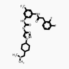 CN(C)CC1CCC([n+]2cc([N-]C(=O)Nc3cc(NC(=O)Cc4cccc(F)c4F)cc(C(F)(F)F)c3)on2)CC1